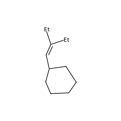 CCC(=CC1CCCCC1)CC